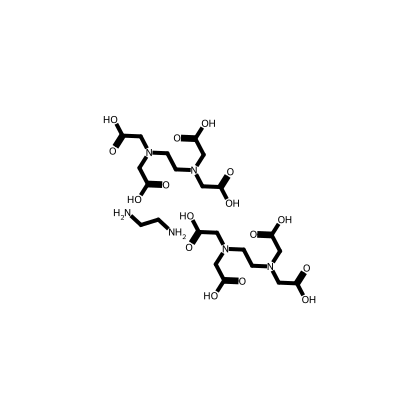 NCCN.O=C(O)CN(CCN(CC(=O)O)CC(=O)O)CC(=O)O.O=C(O)CN(CCN(CC(=O)O)CC(=O)O)CC(=O)O